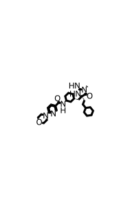 CN1C(=N)N[C@](CCC2CCCCC2)(C[C@H]2CCC[C@@H](NC(=O)c3ccc(N4CCOCC4)nc3)C2)C1=O